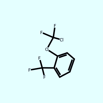 FC(F)(Cl)Oc1ccccc1C(F)(F)F